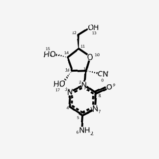 N#C[C@@]1(n2ncc(N)nc2=O)O[C@H](CO)[C@@H](O)[C@H]1O